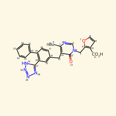 CCCCc1ncn(Cc2occc2C(=O)O)c(=O)c1Cc1ccc(-c2ccccc2)c(-c2nnn[nH]2)c1